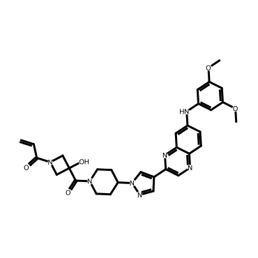 C=CC(=O)N1CC(O)(C(=O)N2CCC(n3cc(-c4cnc5ccc(Nc6cc(OC)cc(OC)c6)cc5n4)cn3)CC2)C1